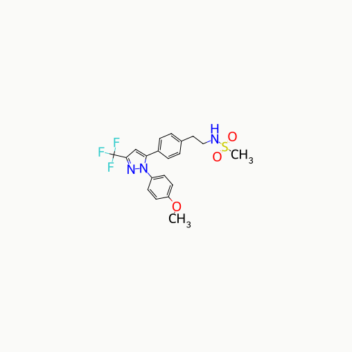 COc1ccc(-n2nc(C(F)(F)F)cc2-c2ccc(CCNS(C)(=O)=O)cc2)cc1